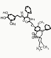 CCCCC1(CCCC)CN(c2ccccc2)c2cc(SC)c(OCC(=O)N[C@@H](C(=O)NCCc3cc(O)c(O)c(O)c3)c3ccccc3)cc2S(=O)(=O)N1